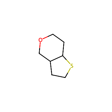 C1CC2SCCC2CO1